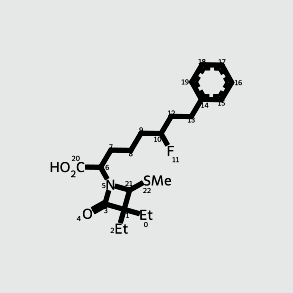 CCC1(CC)C(=O)N(C(CCCC(F)CCc2ccccc2)C(=O)O)C1SC